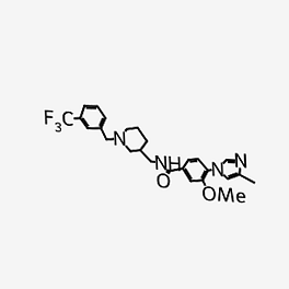 COc1cc(C(=O)NCC2CCCN(Cc3cccc(C(F)(F)F)c3)C2)ccc1-n1cnc(C)c1